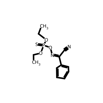 CCOP(=S)(OCC)ON=C(C#N)c1ccccc1